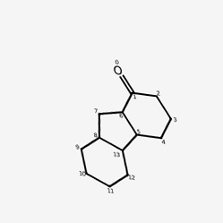 O=C1CCCC2C1CC1CCCCC12